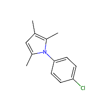 Cc1cc(C)n(-c2ccc(Cl)cc2)c1C